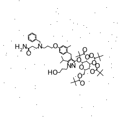 Cc1cc(OCCCN(CCC(N)=O)Cc2ccccc2)ccc1Cc1c(O[C@@H]2O[C@H](COC(=O)C(C)(C)C)[C@@H](OC(=O)C(C)(C)C)[C@H](OC(=O)C(C)(C)C)[C@H]2OC(=O)C(C)(C)C)nn(CCCO)c1C(C)C